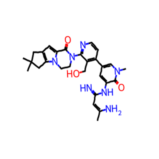 C/C(N)=C/C(=N)Nc1cc(-c2ccnc(N3CCn4c(cc5c4CC(C)(C)C5)C3=O)c2CO)cn(C)c1=O